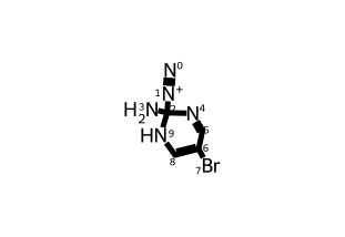 N#[N+]C1(N)N=CC(Br)=CN1